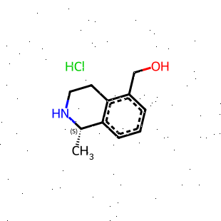 C[C@@H]1NCCc2c(CO)cccc21.Cl